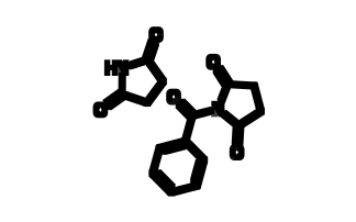 O=C1CCC(=O)N1.O=C1CCC(=O)N1C(=O)c1ccccc1